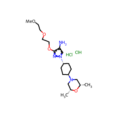 COCCOCCOc1nn([C@H]2CC[C@H](N3C[C@@H](C)O[C@@H](C)C3)CC2)cc1N.Cl.Cl